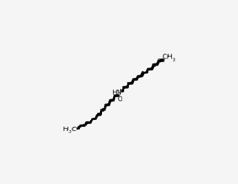 CCCCCCCCC=CCCCCCCCCNC(=O)CCCCCCCC=CCCCCCCCC